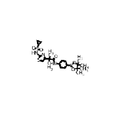 CC(C)(C(=O)Nc1ccc(B2OC(C)(C)C(C)(C)O2)cc1)c1csc(NS(=O)(=O)C2CC2)n1